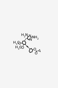 COc1cc(Cc2cnc(N)nc2N)cc(C#Cc2cccc(OC(=O)C3CC3)c2)c1OC